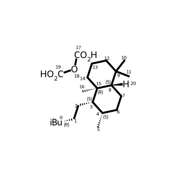 CC[C@@H](C)CC[C@H]1[C@@H](C)CC[C@H]2C(C)(C)CCC[C@]12C.O=C(O)OC(=O)O